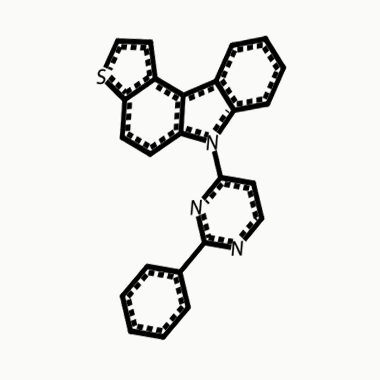 c1ccc(-c2nccc(-n3c4ccccc4c4c5ccsc5ccc43)n2)cc1